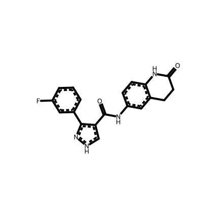 O=C1CCc2cc(NC(=O)c3c[nH]nc3-c3cccc(F)c3)ccc2N1